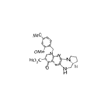 COc1ccc(Cn2cc(C(=O)O)c(=O)c3cc4c(nc32)N2CCC[C@H]2CN4)c(OC)c1